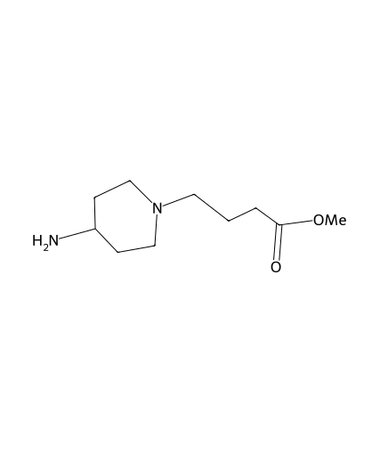 COC(=O)CCCN1CCC(N)CC1